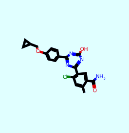 Cc1cc(Cl)c(-c2nc(O)nc(-c3ccc(OCC4CC4)cc3)n2)cc1C(N)=O